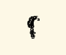 O=S(=O)(Oc1ccc(C[N+]2([O-])CCOCC2)cc1)C(F)(F)C(F)(F)C(F)(F)C(F)(F)C(F)(F)C(F)(F)F